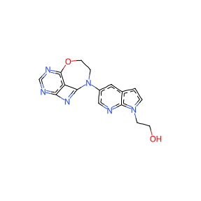 OCCn1ccc2cc(N3CCOc4ncnc5c4C3=N5)cnc21